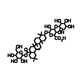 CC1(C)CCC2(C(=O)OC3OC(CO)C(O)C(O)C3O)CCC3(C)C(=CCC4C5(C)CCC(OC6OC(C(=O)O)C(O)C(OC7OCC(O)C(O)C7O)C6O)C(C)(C)C5CCC43C)C2C1